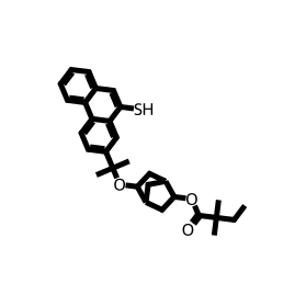 CCC(C)(C)C(=O)OC1CC2CC1CC2OC(C)(C)c1ccc2c(c1)c(S)cc1ccccc12